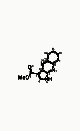 COC(=O)c1c[nH]c2nc3ccccc3nc12